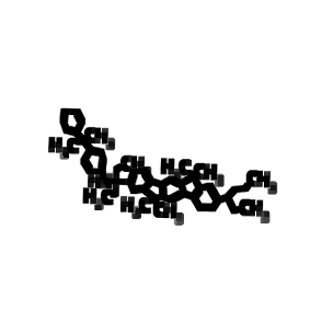 CCCC(CC)c1ccc2c(c1)C(C)(C)c1cc3c(cc1-2)C(C)(C)c1cc(C(CC)(CC)Nc2ccc(C(C)(C)c4ccccc4)cc2)ccc1-3